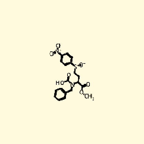 COC(=O)[C@H](CC[S+]([O-])c1ccc([N+](=O)[O-])cc1)N(Cc1ccccc1)C(=O)O